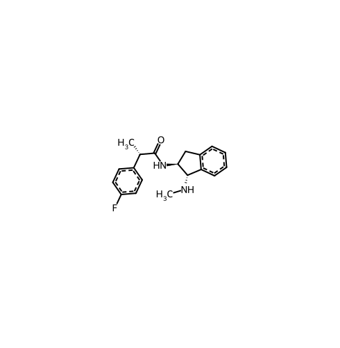 CN[C@H]1c2ccccc2C[C@@H]1NC(=O)[C@@H](C)c1ccc(F)cc1